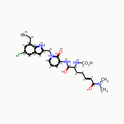 CN(C)C(=O)C=CCCC(NC(=O)O)C(=O)Nc1cccn(Cc2cc3cc(F)cc(CC(C)(C)C)c3[nH]2)c1=O